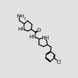 NCC1CCC(C(=O)NC2CCC(Cc3cccc(Cl)c3)CN2)CN1